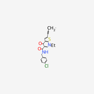 [CH2]C#Cc1cc2c(=O)c(C(=O)NCc3ccc(Cl)cc3)cn(CC)c2s1